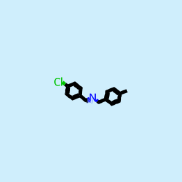 Cc1ccc(C/N=C/c2ccc(Cl)cc2)cc1